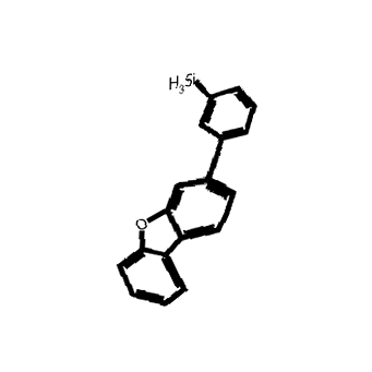 [SiH3]c1cccc(-c2ccc3c(c2)oc2ccccc23)c1